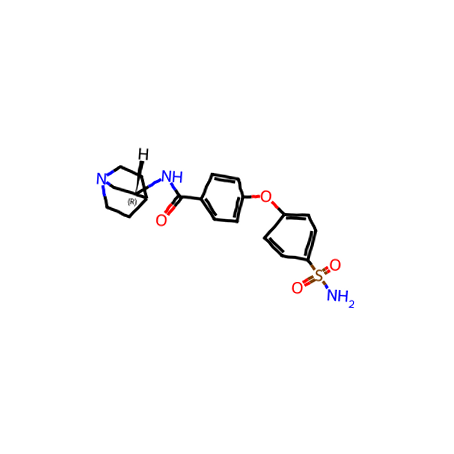 NS(=O)(=O)c1ccc(Oc2ccc(C(=O)N[C@H]3CN4CCC3CC4)cc2)cc1